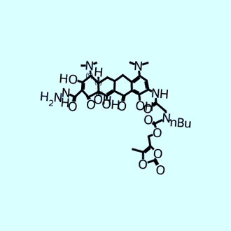 CCCCN(CC(=O)Nc1cc(N(C)C)c2c(c1O)C(=O)C1=C(O)[C@]3(O)C(=O)C(C(=O)NN)=C(O)[C@@H](N(C)C)[C@@H]3CC1C2)C(=O)OCc1oc(=O)oc1C